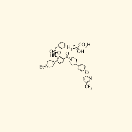 CCN1CCN(c2ccc(C(=O)N3CCC(c4ccc(Oc5ccc(C(F)(F)F)cn5)cc4)CC3)cc2NS(=O)(=O)Cc2ccccc2)CC1.C[C@H](O)C(=O)O